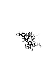 COc1ccc(CN2Cc3c(C(=N)NO)ncn3-c3ccc(Cl)cc3C2=O)c(OC)c1